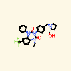 CCN1C(=O)N(c2ccc(CN3CCC[C@@H]3CO)cc2)C(=O)N(c2ccccc2)c2cc(C(F)(F)F)ccc21